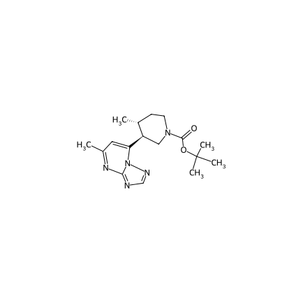 Cc1cc([C@@H]2CN(C(=O)OC(C)(C)C)CC[C@H]2C)n2ncnc2n1